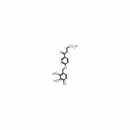 CCCc1c(COc2ccc(C(=O)CCC(=O)O)cc2)ccc(C(C)=O)c1O